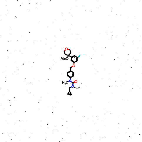 CCCN(CC1CC1)C(=O)N(C)c1ccc(COc2cc(F)cc(C3(OC)CCOCC3)c2)cc1